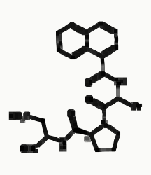 CC(C)C(NC(=O)c1cccc2ccccc12)C(=O)N1CCC[C@H]1C(=O)NC(C=O)CC(=O)O